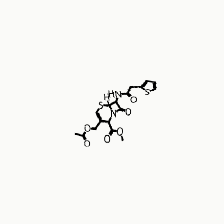 COC(=O)C1C(COC(C)=O)=CS[C@@H]2C(NC(=O)Cc3cccs3)C(=O)N12